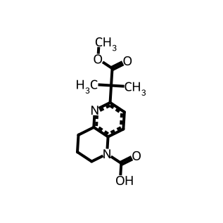 COC(=O)C(C)(C)c1ccc2c(n1)CCCN2C(=O)O